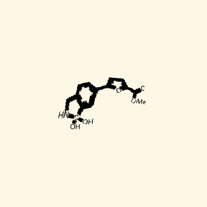 COC(=O)c1ccc(-c2ccc3c(c2)S(O)(O)NC3)o1